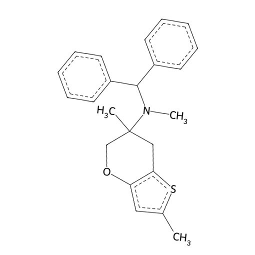 Cc1cc2c(s1)CC(C)(N(C)C(c1ccccc1)c1ccccc1)CO2